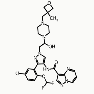 CC1(CN2CCN(C(O)Cn3cc(NC(=O)c4cnn5cccnc45)c(-c4cc(Cl)ccc4OC(F)F)n3)CC2)COC1